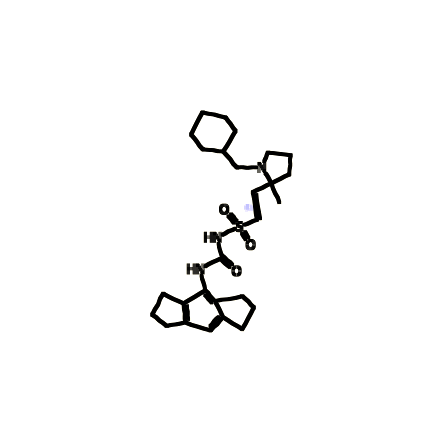 CC1(/C=C/S(=O)(=O)NC(=O)Nc2c3c(cc4c2CCC4)CCC3)CCCN1CC1CCCCC1